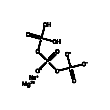 O=P([O-])([O-])OP(=O)([O-])OP(=O)(O)O.[Mg+2].[Na+]